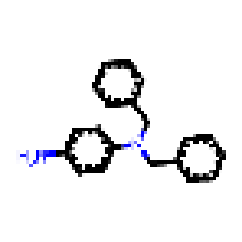 Nc1ccc(N(Cc2ccccc2)Cc2ccccc2)cc1